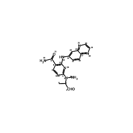 CC(C=O)N(N)c1ncc(C(N)=O)c(Nc2ccc3nccnc3c2)n1